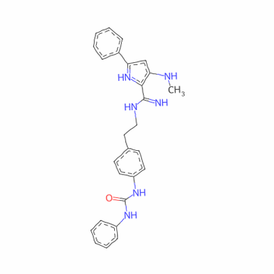 CNc1cc(-c2ccccc2)[nH]c1C(=N)NCCc1ccc(NC(=O)Nc2ccccc2)cc1